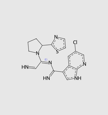 N=C/C(=N\C(=N)c1c[nH]c2ncc(Cl)cc12)N1CCCC1c1nccs1